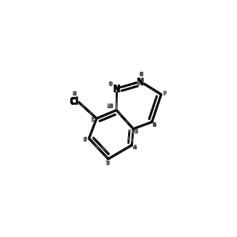 Clc1cccc2ccnnc12